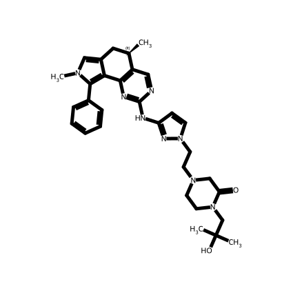 C[C@@H]1Cc2cn(C)c(-c3ccccc3)c2-c2nc(Nc3ccn(CCN4CCN(CC(C)(C)O)C(=O)C4)n3)ncc21